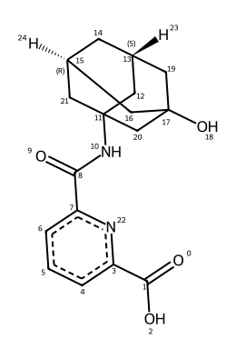 O=C(O)c1cccc(C(=O)NC23C[C@@H]4C[C@@H](CC(O)(C4)C2)C3)n1